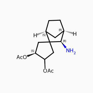 CC(=O)OC1CC2(C[C@@H]1OC(C)=O)[C@H]1CC[C@H](C1)[C@H]2N